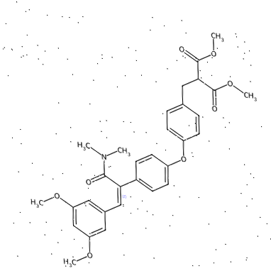 COC(=O)C(Cc1ccc(Oc2ccc(/C(=C/c3cc(OC)cc(OC)c3)C(=O)N(C)C)cc2)cc1)C(=O)OC